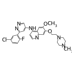 COc1cc2c(Nc3cnnc(-c4cc(Cl)ccc4F)c3)ccnc2cc1OCCN1CCN(C)CC1